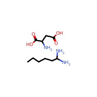 CCCCCC(N)N.NC(CC(=O)O)C(=O)O